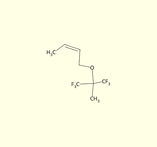 C/C=C\COC(C)(C(F)(F)F)C(F)(F)F